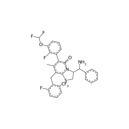 Cc1c(Cc2c(F)cccc2C(F)(F)F)c2n(c(=O)c1-c1cccc(OC(F)F)c1F)C(C(N)c1ccccc1)CS2